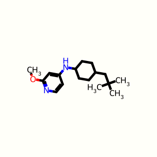 COc1cc(NC2CCC(CC(C)(C)C)CC2)ccn1